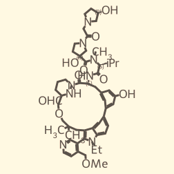 CCn1c(-c2cnccc2COC)c2c3cc(ccc31)-c1cc(O)cc(c1)C[C@H](NC(=O)[C@H](C(C)C)N(C)C(=O)[C@@]1(O)CCN(C(=O)CN3CC[C@@H](O)C3)C1)C(=O)N1CCCC(C=O)(COCC(C)(C)C2)N1